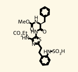 CCOC(=O)Nc1nc(CCc2ccccc2NS(=O)(=O)O)sc1NC(=O)[C@H](Cc1ccccc1)NC(=O)OC